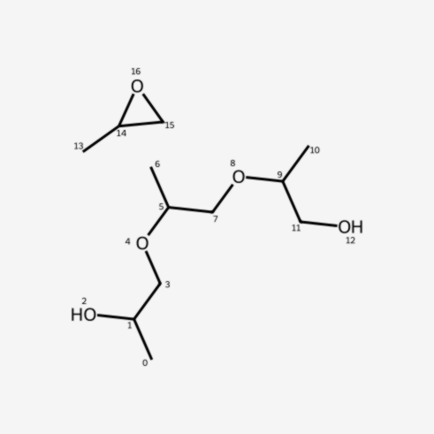 CC(O)COC(C)COC(C)CO.CC1CO1